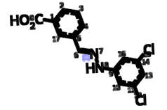 O=C(O)c1cccc(/C=N/Nc2cc(Cl)cc(Cl)c2)c1